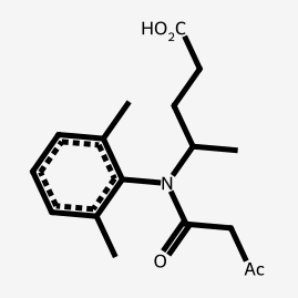 CC(=O)CC(=O)N(c1c(C)cccc1C)C(C)CCC(=O)O